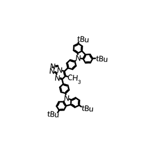 Cc1c(-c2ccc(-n3c4ccc(C(C)(C)C)cc4c4cc(C(C)(C)C)ccc43)cc2)nc2nncn2c1-c1ccc(-n2c3ccc(C(C)(C)C)cc3c3cc(C(C)(C)C)ccc32)cc1